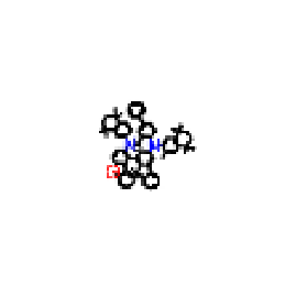 Cc1cc2c(cc1N1c3ccc(-c4ccccc4)cc3B3c4c1cc1c(c4-c4c(ccc5oc6ccccc6c45)N3c3ccc4c(c3)C(C)(C)CCC4(C)C)C(C)(C)c3ccccc3-1)C(C)(C)CCC2(C)C